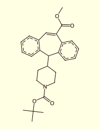 COC(=O)C1=Cc2ccccc2C(C2CCN(C(=O)OC(C)(C)C)CC2)c2ccccc21